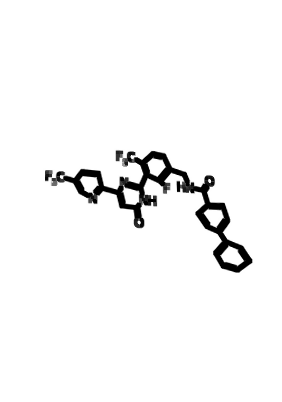 O=C(NCc1ccc(C(F)(F)F)c(-c2nc(-c3ccc(C(F)(F)F)cn3)cc(=O)[nH]2)c1F)c1ccc(-c2ccccc2)cc1